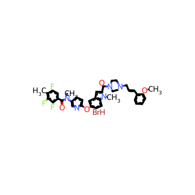 Br.COc1ccccc1C=CCN1CCN(C(=O)c2cc3cc(Oc4ccc(N(C)C(=O)c5cc(F)c(C)c(F)c5F)cn4)ccc3n2C)CC1